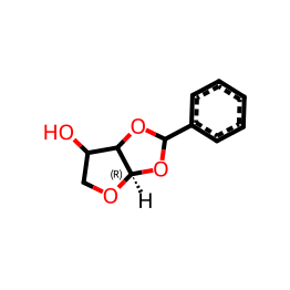 OC1CO[C@@H]2OC(c3ccccc3)OC12